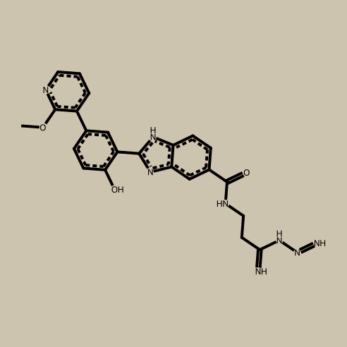 COc1ncccc1-c1ccc(O)c(-c2nc3cc(C(=O)NCCC(=N)NN=N)ccc3[nH]2)c1